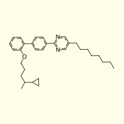 CCCCCCCCc1cnc(-c2ccc(-c3ccccc3OCCCC(C)C3CC3)cc2)nc1